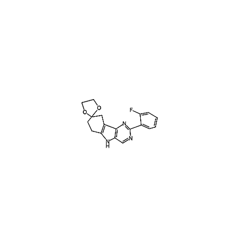 Fc1ccccc1-c1ncc2[nH]c3c(c2n1)CC1(CC3)OCCO1